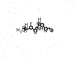 CS(=O)(=O)NCc1cc(F)cc(-c2cncc3[nH]c(-c4n[nH]c5ccc(-c6cncc(CN7CCCC7)c6)nc45)cc23)c1